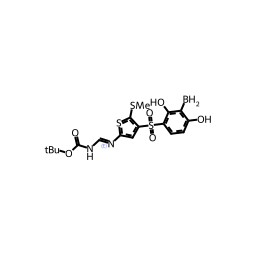 Bc1c(O)ccc(S(=O)(=O)c2cc(/N=C/NC(=O)OC(C)(C)C)sc2SC)c1O